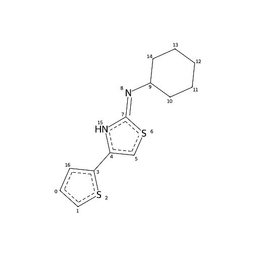 c1csc(-c2cs/c(=N\C3CCCCC3)[nH]2)c1